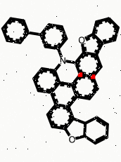 C1=CC2Oc3ccc4c5cccc(N(c6cccc(-c7ccccc7)c6)c6cccc7c6oc6ccccc67)c5c5ccccc5c4c3C2C=C1